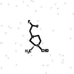 C[C@@H]1CN(CC(F)F)CCN1C=O